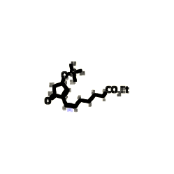 CCOC(=O)CCCC/C=C\C1=CC(O[Si](C)(C)C)CC1=O